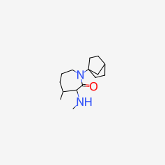 CNC1C(=O)N(C23CCC(CC2)C3)CCCC1C